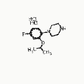 CC(C)Oc1cc(F)ccc1N1CCNCC1.Cl.Cl